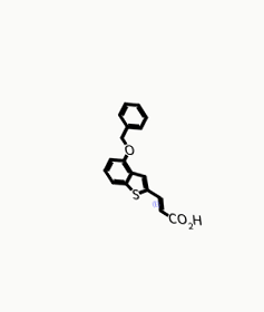 O=C(O)/C=C/c1cc2c(OCc3ccccc3)cccc2s1